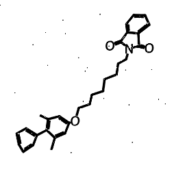 Cc1cc(OCCCCCCCCN2C(=O)c3ccccc3C2=O)cc(C)c1-c1ccccc1